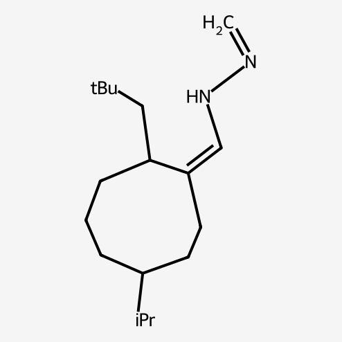 C=NN/C=C1/CCC(C(C)C)CCCC1CC(C)(C)C